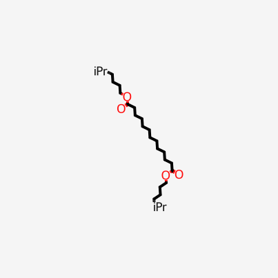 CC(C)CCCCOC(=O)CCCCCCCCCCCC(=O)OCCCCC(C)C